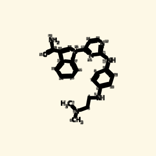 CN(C)CCNc1ccc(Nc2nccc(-n3cc(C(N)=O)c4ccccc43)n2)cc1